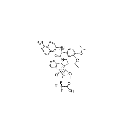 CCOc1cc(C(Nc2ccc3c(N)nccc3c2)C(=O)N2CCC(C(=O)OC)C2c2ccccc2S(=O)(=O)C(C)C)ccc1OC(C)C.O=C(O)C(F)(F)F